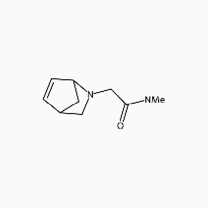 CNC(=O)CN1CC2C=CC1C2